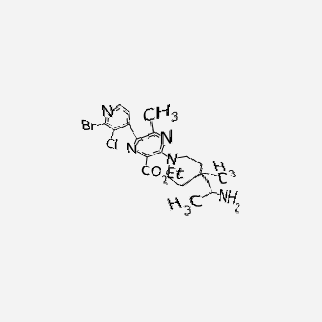 CCOC(=O)c1nc(-c2ccnc(Br)c2Cl)c(C)nc1N1CCC(C)(C(C)N)CC1